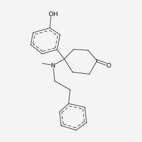 CN(CCc1ccccc1)C1(c2cccc(O)c2)CCC(=O)CC1